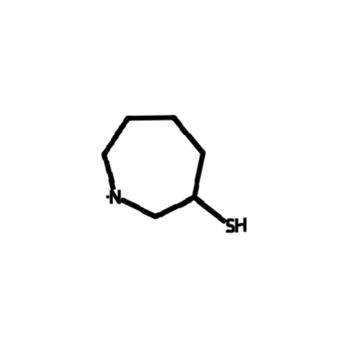 SC1CCCC[N]C1